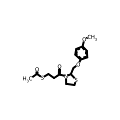 COc1ccc(OCC2SCCN2C(=O)CCSC(C)=O)cc1